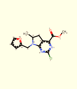 COC(=O)c1nc(Cl)nc2c1CC(C)N2Cc1ccco1